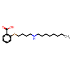 CCCCCCCCNCCCCSc1ccccc1C(=O)O